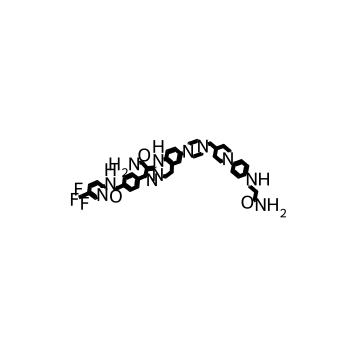 NC(=O)CCNc1ccc(N2CCC(CN3CCN(c4ccc5c(c4)CCn4nc(-c6ccc(C(=O)Nc7ccc(C(F)(F)F)cn7)cc6)c(C(N)=O)c4N5)CC3)CC2)cc1